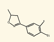 CCc1ccc(C2=NOC(C)C2)cc1F